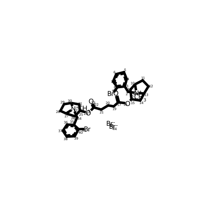 C[N+]1(Cc2ccccc2Br)C2CCC1CC(OC(=O)CCCC(=O)OC1CC3CCC(C1)[N+]3(C)Cc1ccccc1Br)C2.[Br-].[Br-]